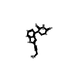 NCC#Cc1cc2c(N3CCC(=O)NC3=O)cccc2o1